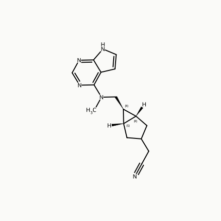 CN(C[C@H]1[C@@H]2CC(CC#N)C[C@@H]21)c1ncnc2[nH]ccc12